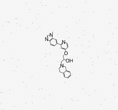 Cn1cnc2ccc(-c3cc(OCC(O)CN4CCc5ccccc5C4)ccn3)cc21